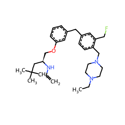 C=CN[C@H](COc1cccc(Cc2ccc(CN3CCN(CC)CC3)c(CF)c2)c1)CC(C)(C)C